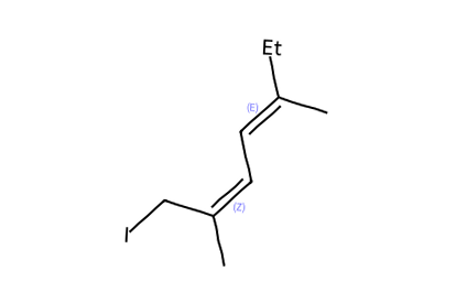 CC/C(C)=C/C=C(/C)CI